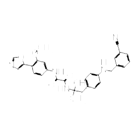 COc1cc(NC(=O)C(=O)NC(C)(C)Cc2ccc(NCc3cccc(C#N)c3)cc2)ccc1-c1cnco1